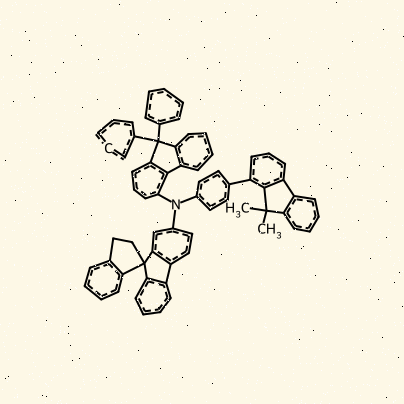 CC1(C)c2ccccc2-c2cccc(-c3ccc(N(c4ccc5c(c4)C4(CCc6ccccc64)c4ccccc4-5)c4cccc5c4-c4ccccc4C5(c4ccccc4)c4ccccc4)cc3)c21